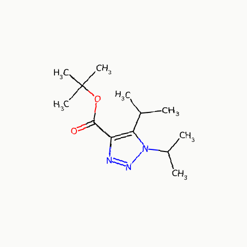 CC(C)c1c(C(=O)OC(C)(C)C)nnn1C(C)C